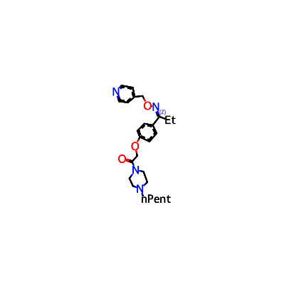 CCCCCN1CCN(C(=O)COc2ccc(/C(CC)=N\OCc3ccncc3)cc2)CC1